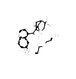 C=CCOCC=C.CC[C@@H]1CN2CCC1C[C@H]2C(O)c1ccnc2ccc(OC)cc12